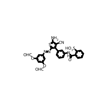 N#Cc1c(N)sc(N=Nc2cc(OC=O)cc(OC=O)c2)c1-c1cccc(NC(=O)c2ccccc2S(=O)(=O)O)c1